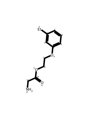 CCc1cccc(OCCOC(=O)CN)c1